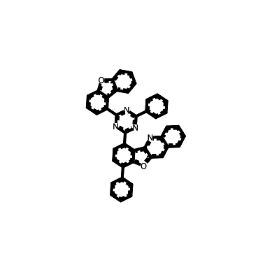 c1ccc(-c2nc(-c3cccc4oc5ccccc5c34)nc(-c3ccc(-c4ccccc4)c4oc5cc6ccccc6nc5c34)n2)cc1